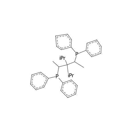 CC(C)C(C(C)C)(C(C)P(c1ccccc1)c1ccccc1)C(C)P(c1ccccc1)c1ccccc1